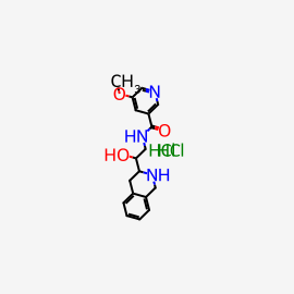 COc1cncc(C(=O)NCC(O)C2Cc3ccccc3CN2)c1.Cl.Cl